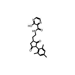 Cc1cc(C)c(C2C(=O)CC(CCNC(=O)c3nccnc3O)C2=O)c(C)c1